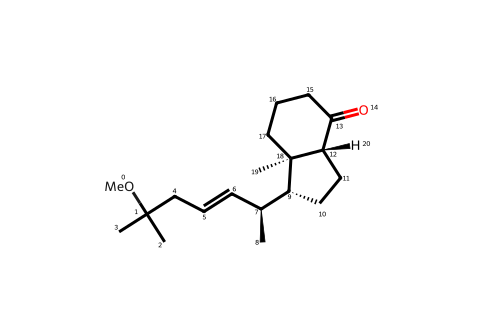 COC(C)(C)C/C=C/[C@H](C)[C@H]1CC[C@H]2C(=O)CCC[C@]12C